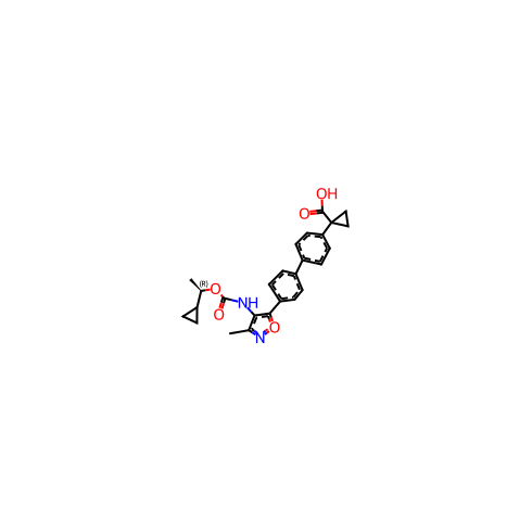 Cc1noc(-c2ccc(-c3ccc(C4(C(=O)O)CC4)cc3)cc2)c1NC(=O)O[C@H](C)C1CC1